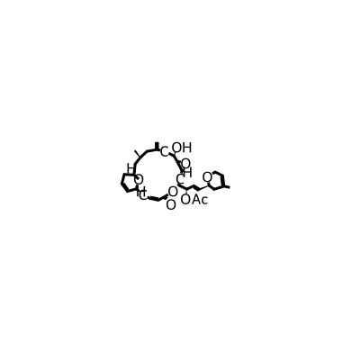 C=C1C[C@H](C)C[C@@H]2CC=C[C@@H](C/C=C\C(=O)O[C@H]([C@H](/C=C/[C@@H]3CC(C)=CCO3)OC(C)=O)C[C@@H]3OC3[C@@H](O)C1)O2